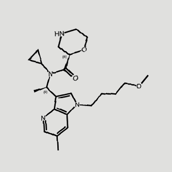 COCCCCn1cc([C@@H](C)N(C(=O)[C@H]2CNCCO2)C2CC2)c2ncc(C)cc21